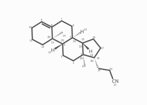 C[C@]12CC[C@H]3[C@@H](CCC4=CCCC[C@@]43C)[C@@H]1CC[C@@H]2CCC#N